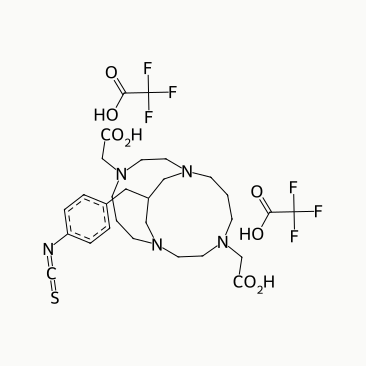 O=C(O)C(F)(F)F.O=C(O)C(F)(F)F.O=C(O)CN1CCCN2CCN(CC(=O)O)CCCN(CC1)CC(Cc1ccc(N=C=S)cc1)C2